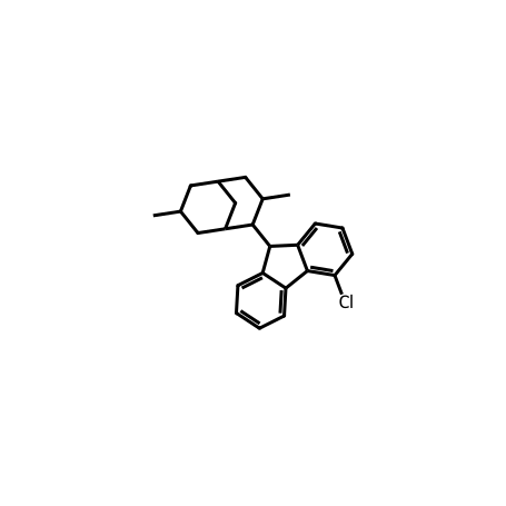 CC1CC2CC(C)C(C3c4ccccc4-c4c(Cl)cccc43)C(C1)C2